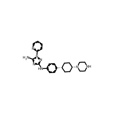 Nc1nc(Nc2ccc([C@H]3CC[C@@H](N4CCNCC4)CC3)cc2)nn1-c1ccccn1